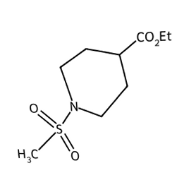 CCOC(=O)C1CCN(S(C)(=O)=O)CC1